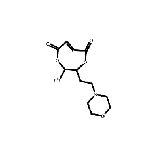 CCCC1OC(=O)/C=C/C(=O)OC1CCN1CCOCC1